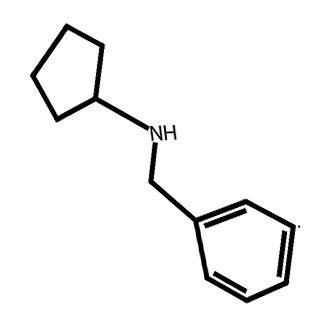 [c]1cccc(CNC2CCCC2)c1